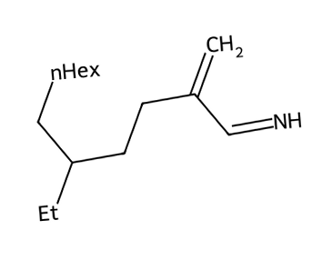 C=C(C=N)CCC(CC)CCCCCCC